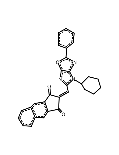 O=C1C(=Cc2nc3oc(-c4ccccc4)nc3n2C2CCCCC2)C(=O)c2cc3ccccc3cc21